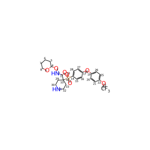 O=C(NOC1CCCCO1)C1(S(=O)(=O)c2ccc(Oc3ccc(OC(F)(F)F)cc3)cc2)CCNCC1